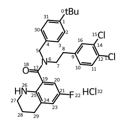 CC(C)(C)c1ccc(CN(CCc2ccc(Cl)c(Cl)c2)C(=O)c2cc(F)cc3c2NCCC3)cc1.Cl